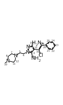 Cc1nn(CCN2CCN(C)CC2)c(N)c1/C(Cl)=C(\N)c1ccccc1